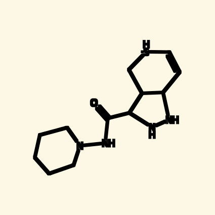 O=C(NN1CCCCC1)C1NNC2C=C[SH]CC21